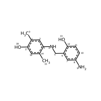 Cc1cc(NCc2cc(N)ccc2O)c(C)cc1O